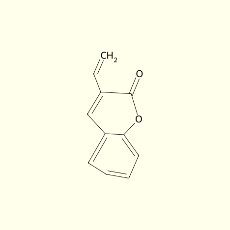 C=Cc1cc2ccccc2oc1=O